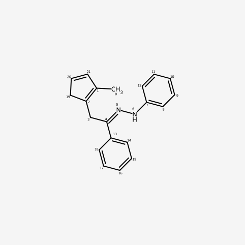 CC1=C(CC(=NNc2ccccc2)c2ccccc2)CC=C1